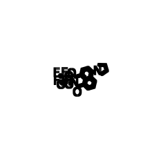 O=C1c2cccc3c(N4CCCC4)ccc(c23)C(=O)N1OS(=O)(=O)C(F)(F)F